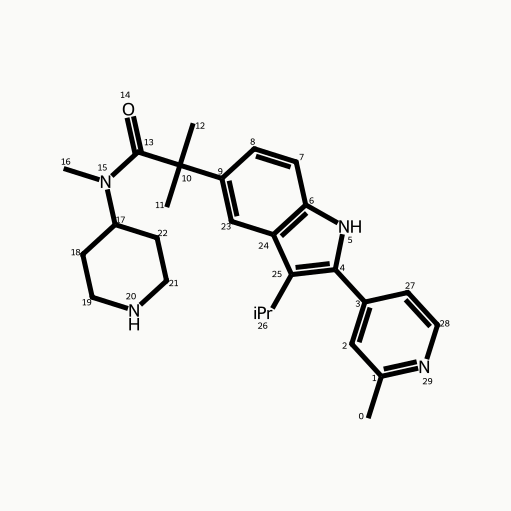 Cc1cc(-c2[nH]c3ccc(C(C)(C)C(=O)N(C)C4CCNCC4)cc3c2C(C)C)ccn1